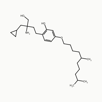 CC(C)CCCC(C)CCCCOc1ccc(CCC(N)(CO)CC2CC2)c(O)c1